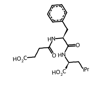 CC(C)C[C@H](NC(=O)[C@H](Cc1ccccc1)NC(=O)CCC(=O)O)C(=O)O